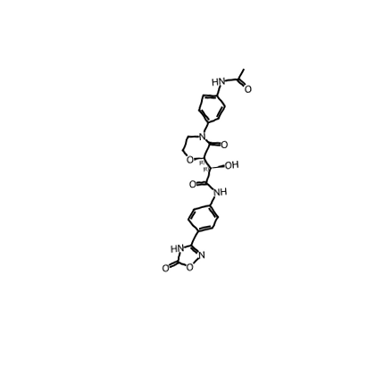 CC(=O)Nc1ccc(N2CCO[C@H]([C@@H](O)C(=O)Nc3ccc(-c4noc(=O)[nH]4)cc3)C2=O)cc1